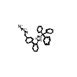 [N-]=[N+]=NCc1ccc(-c2ccccc2-c2nnn(C(c3ccccc3)(c3ccccc3)c3ccccc3)n2)cc1